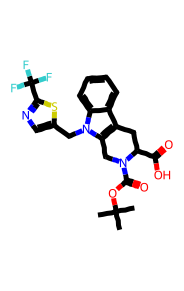 CC(C)(C)OC(=O)N1Cc2c(c3ccccc3n2Cc2cnc(C(F)(F)F)s2)CC1C(=O)O